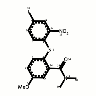 COc1ccc(Sc2ccc(I)cc2[N+](=O)[O-])c(C(=O)N(C)C)c1